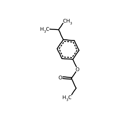 CCC(=O)Oc1ccc(C(C)C)cc1